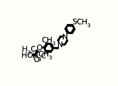 CSc1ccc(N2CCN(Cc3cc(C)c(OC(C)(C)C(=O)O)c(C)c3)CC2)cc1